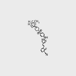 CC(C)(C)OC(=O)N1CCC(S(=O)(=O)c2ccc(Nc3ncc(/C=C/c4cccc(C#N)c4F)cn3)cc2)CC1